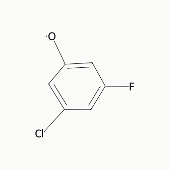 [O]c1cc(F)cc(Cl)c1